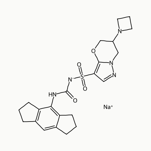 O=C([N-]S(=O)(=O)c1cnn2c1OCC(N1CCC1)C2)Nc1c2c(cc3c1CCC3)CCC2.[Na+]